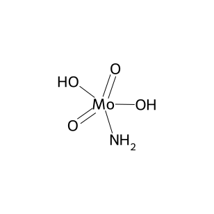 [NH2][Mo](=[O])(=[O])([OH])[OH]